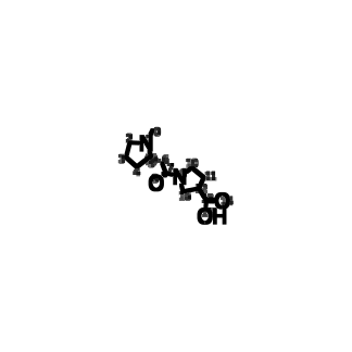 CN1CCC[C@H]1CC(=O)N1CCC(C(=O)O)C1